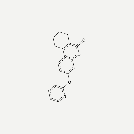 O=c1oc2cc(Oc3ccccn3)ccc2c2c1CCCC2